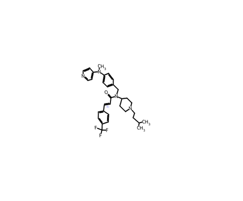 CC(C)CCN1CCC(N(Cc2ccc(N(C)c3ccncc3)cc2)C(=O)/C=C/c2ccc(C(F)(F)F)cc2)CC1